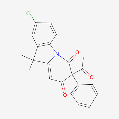 CC(=O)C1(c2ccccc2)C(=O)C=C2N(C1=O)c1ccc(Cl)cc1C2(C)C